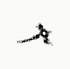 Nc1ncnc2c1ncn2[C@@H]1O[C@@H]2COP(=O)(SCc3ccc(OC(=O)COCCOCCOCCCO)cc3)O[C@H]3C[C@H](n4ccc(=O)[nH]c4=O)O[C@@H]3COP(=O)(O)O[C@H]2[C@H]1F